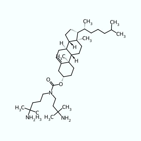 CC(C)CCC[C@@H](C)[C@H]1CC[C@H]2[C@@H]3CC=C4C[C@@H](OC(=O)N(CCCC(C)(C)N)CCC(C)(C)N)CC[C@]4(C)[C@H]3CC[C@]12C